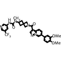 COc1ccc(-c2ccc3c(C(=O)N4CC5(CC(N(C)C(=O)Nc6cncc(C(F)(F)F)c6)C5)C4)cnn3c2)cc1OC